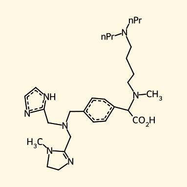 CCCN(CCC)CCCCN(C)C(C(=O)O)c1ccc(CN(CC2=NCCN2C)Cc2ncc[nH]2)cc1